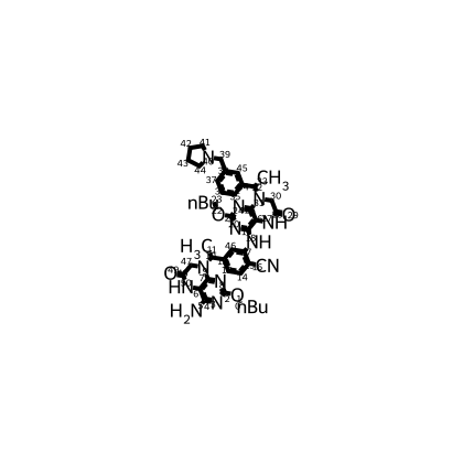 CCCCOc1nc(N)c2c(n1)N(C(C)c1ccc(C#N)c(Nc3nc(OCCCC)nc4c3NC(=O)CN4C(C)c3cccc(CN4CCCC4)c3)c1)CC(=O)N2